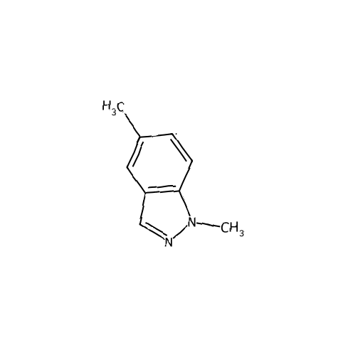 Cc1[c]cc2c(cnn2C)c1